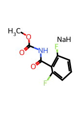 COC(=O)NC(=O)c1c(F)cccc1F.[NaH]